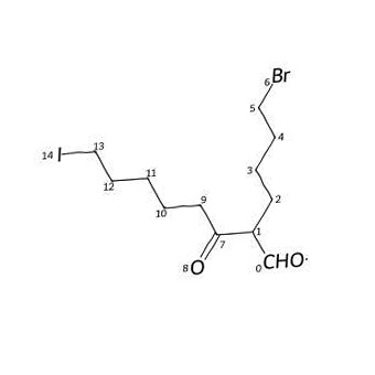 O=[C]C(CCCCBr)C(=O)CCCCCI